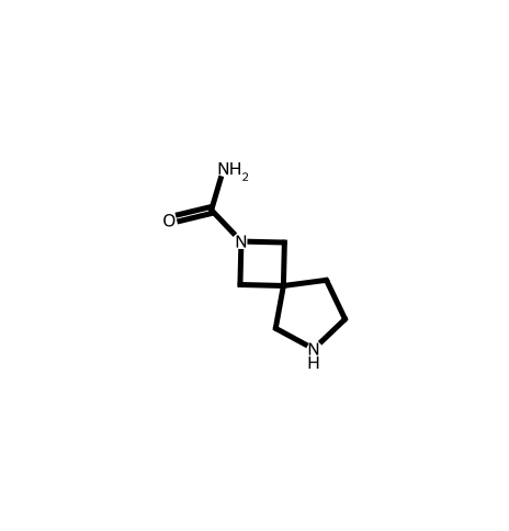 NC(=O)N1CC2(CCNC2)C1